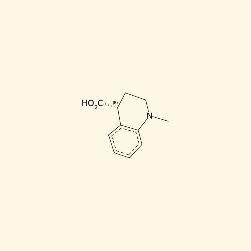 CN1CC[C@@H](C(=O)O)c2ccccc21